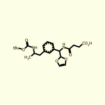 CC(Cc1cccc(C(NC(=O)CCC(=O)O)C2OC=CO2)c1)NC(=O)OC(C)(C)C